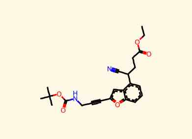 CCOC(=O)CCC(C#N)c1cccc2oc(C#CCNC(=O)OC(C)(C)C)cc12